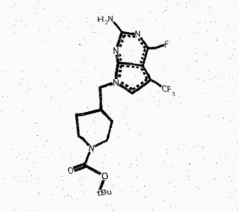 CC(C)(C)OC(=O)N1CCC(Cn2cc(C(F)(F)F)c3c(F)nc(N)nc32)CC1